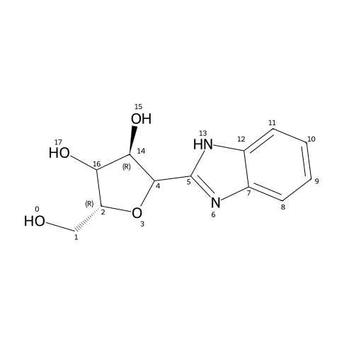 OC[C@H]1OC(c2nc3ccccc3[nH]2)[C@H](O)C1O